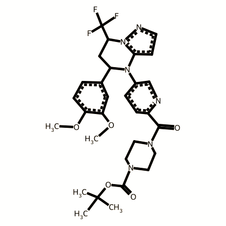 COc1ccc(C2CC(C(F)(F)F)n3nccc3N2c2ccc(C(=O)N3CCN(C(=O)OC(C)(C)C)CC3)nc2)cc1OC